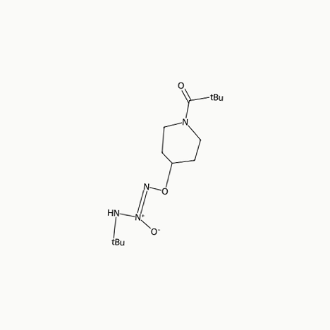 CC(C)(C)N/[N+]([O-])=N/OC1CCN(C(=O)C(C)(C)C)CC1